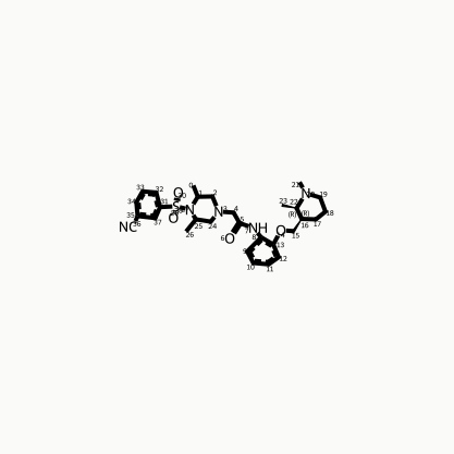 CC1CN(CC(=O)Nc2ccccc2OC[C@@H]2CCCN(C)[C@@H]2C)CC(C)N1S(=O)(=O)c1cccc(C#N)c1